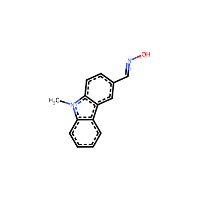 Cn1c2ccccc2c2cc(/C=N/O)ccc21